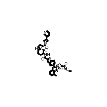 CCCOC(=O)[C@H](C)NP(=O)(Cc1ccc2sc(C(=O)N[C@H]3CCC[C@H]4CC[C@@H](C(=O)N5CC(c6cccnc6)C5)N4C3=O)cc2c1)Oc1c(C)cccc1C